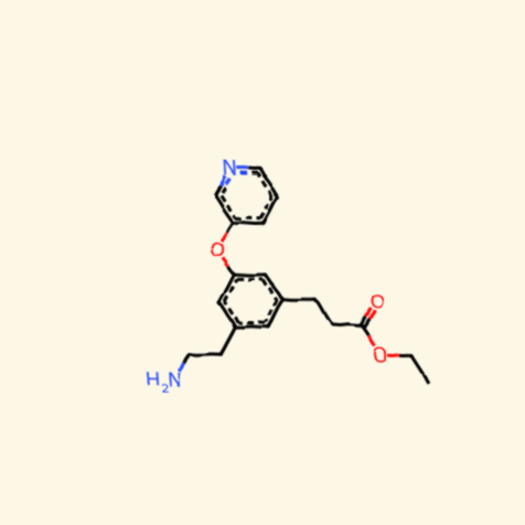 CCOC(=O)CCc1cc(CCN)cc(Oc2cccnc2)c1